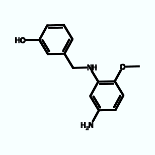 COc1ccc(N)cc1NCc1cccc(O)c1